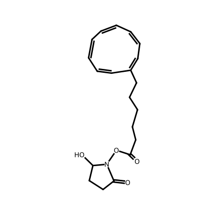 O=C(CCCCCc1ccccccccc1)ON1C(=O)CCC1O